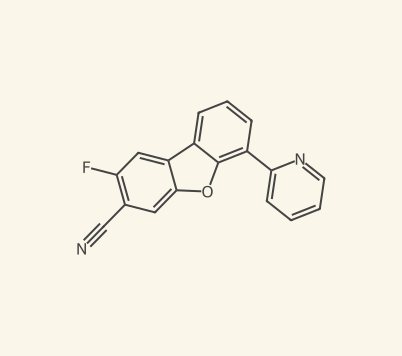 N#Cc1cc2oc3c(-c4ccccn4)cccc3c2cc1F